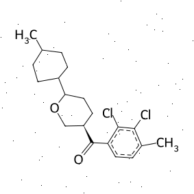 Cc1ccc(C(=O)[C@@H]2CCC(C3CCC(C)CC3)OC2)c(Cl)c1Cl